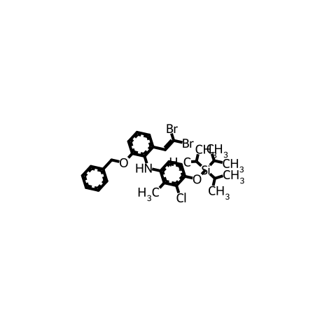 Cc1c(Nc2c(C=C(Br)Br)cccc2OCc2ccccc2)ccc(O[Si](C(C)C)(C(C)C)C(C)C)c1Cl